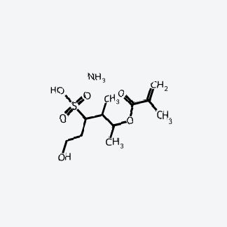 C=C(C)C(=O)OC(C)C(C)C(CCO)S(=O)(=O)O.N